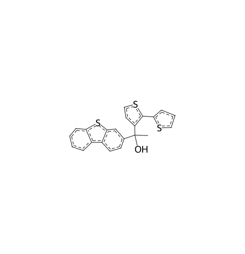 CC(O)(c1ccc2c(c1)sc1ccccc12)c1ccsc1-c1cccs1